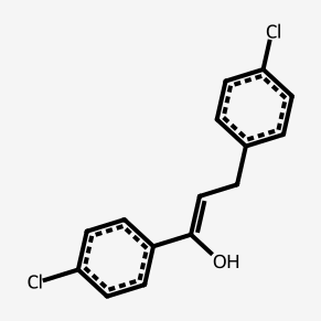 O/C(=C\Cc1ccc(Cl)cc1)c1ccc(Cl)cc1